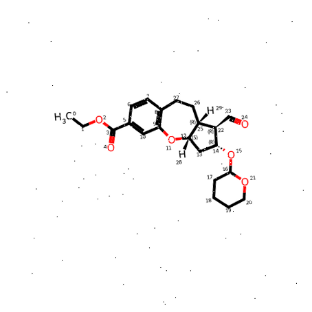 CCOC(=O)c1ccc2c(c1)O[C@H]1C[C@@H](OC3CCCCO3)[C@H](C=O)[C@H]1CC2